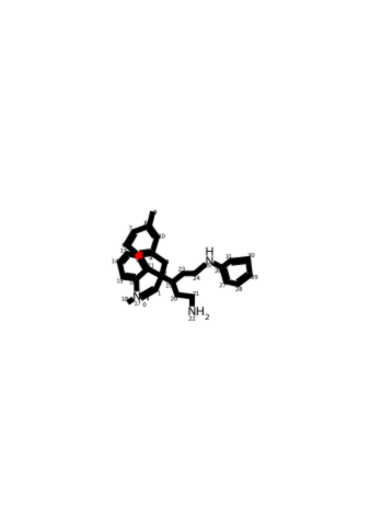 C=CC(Cc1cccc(C)c1)(c1ccccc1NC)C(CCN)CCNc1ccccc1